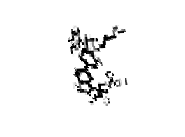 CN(C)CCCOc1ncc(-c2ccc3ncc4c(c3c2)C2(CN(C(=O)O)C2)C(=O)N4C)cc1NS(C)(=O)=O